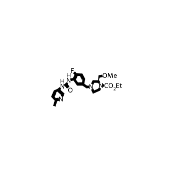 CCOC(=O)N1CCN(Cc2ccc(F)c(NC(=O)Nc3ccc(C)nc3)c2)C[C@H]1COC